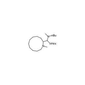 CCCCCCC(C1CCCCCCCCCN1C)N(C)CCCC